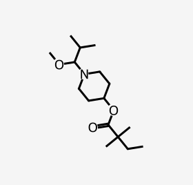 CCC(C)(C)C(=O)OC1CCN(C(OC)C(C)C)CC1